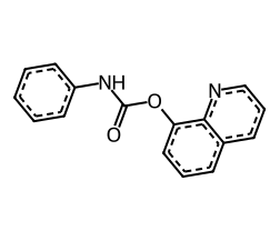 O=C(Nc1ccccc1)Oc1cccc2cccnc12